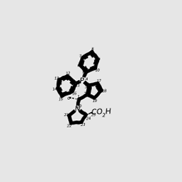 C[C@H](C1=C(P(c2ccccc2)c2ccccc2)C=CC1)N1CCC[C@H]1C(=O)O